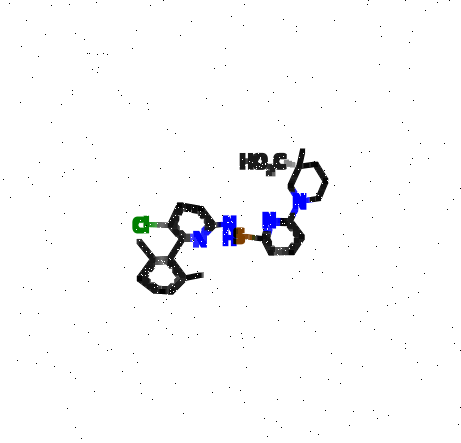 Cc1cccc(C)c1-c1nc(NSc2cccc(N3CCC[C@@](C)(C(=O)O)C3)n2)ccc1Cl